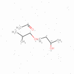 CC(C)CO.CC=O.CCC(C)O